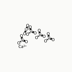 [Ca+2].[O]=[U+2]=[O].[O]=[V](=[O])[O-].[O]=[V](=[O])[O-].[O]=[V](=[O])[O-].[O]=[V](=[O])[O-]